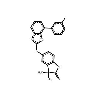 CC1(C)C(=O)Nc2ccc(Nc3nc4c(-c5cccc(F)c5)cccn4n3)cc21